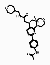 CC(=O)Nc1ccc(-c2ncc3c(n2)N2CCOC[C@H]2CN3CC(=O)NCC2CCOCC2)cc1